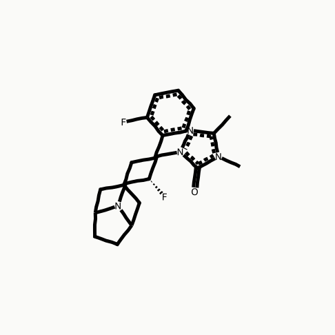 Cc1nn(C[C@H](F)CN2C3CCC2CC(CCc2ccccc2F)C3)c(=O)n1C